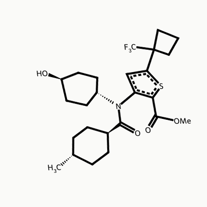 COC(=O)c1sc(C2(C(F)(F)F)CCC2)cc1N(C(=O)[C@H]1CC[C@H](C)CC1)[C@H]1CC[C@H](O)CC1